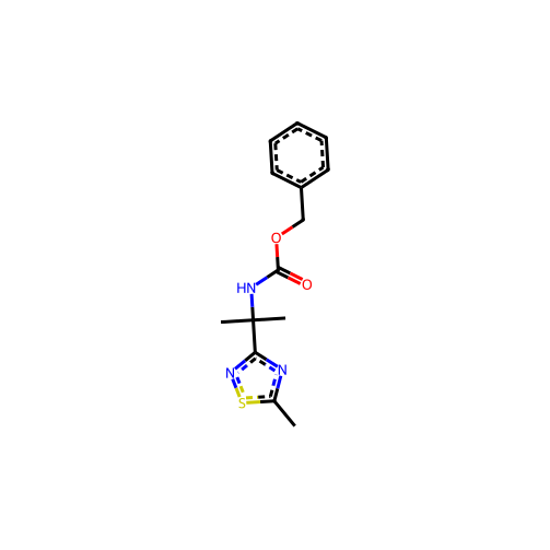 Cc1nc(C(C)(C)NC(=O)OCc2ccccc2)ns1